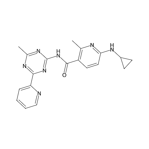 Cc1nc(NC(=O)c2ccc(NC3CC3)nc2C)nc(-c2ccccn2)n1